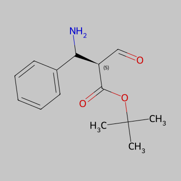 CC(C)(C)OC(=O)[C@H](C=O)C(N)c1ccccc1